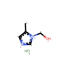 Cc1cncn1CO.Cl